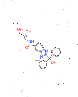 CCn1c(C(O)(c2ccccc2)c2ccccc2)nc2ccc(C(=O)NC[C@@H](O)CO)cc21